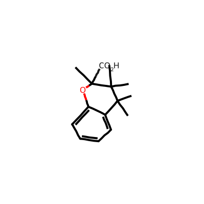 CC1(C(=O)O)Oc2ccccc2C(C)(C)C1(C)C